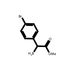 BC(C(=O)OC)c1ccc(Br)cc1